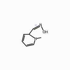 CN1C=CC=CC1/C=N\O